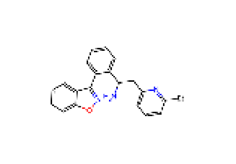 CCc1cccc(CC(N)c2ccccc2-c2noc3ccccc23)n1